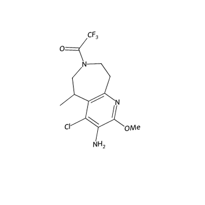 COc1nc2c(c(Cl)c1N)C(C)CN(C(=O)C(F)(F)F)CC2